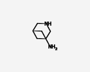 NC12CNCC(C1)C2